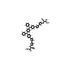 N#C/C(=C\c1ccc(-c2ccc(-c3ccc(N(c4ccccc4)c4ccc(N(c5ccccc5)c5ccc(-c6ccc(-c7ccc(/C=C(\C#N)C(=O)O)s7)s6)cc5)cc4)cc3)s2)s1)C(=O)O